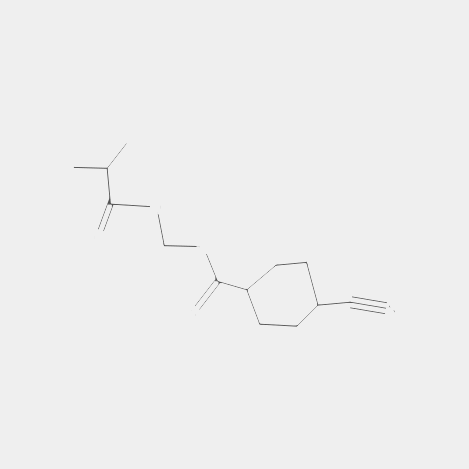 CC(C)C(=O)OCOC(=O)C1CCC(C#N)CC1